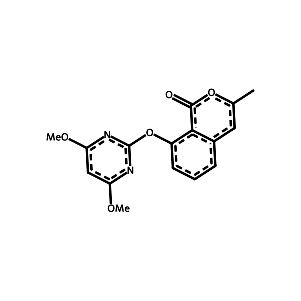 COc1cc(OC)nc(Oc2cccc3cc(C)oc(=O)c23)n1